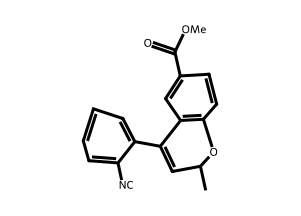 [C-]#[N+]c1ccccc1C1=CC(C)Oc2ccc(C(=O)OC)cc21